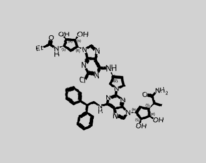 CCC(=O)N[C@H]1C[C@@H](n2cnc3c(N[C@@H]4CCN(c5nc(NCC(c6ccccc6)c6ccccc6)c6ncn([C@@H]7C[C@@H](C(C)C(N)=O)[C@@H](O)[C@H]7O)c6n5)C4)nc(Cl)nc32)[C@H](O)[C@@H]1O